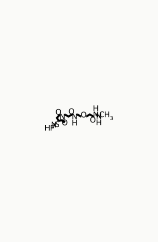 CNNC(=O)CCOCCNC(=O)CCN1C(=O)CC(SN=P)C1=O